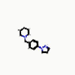 c1cnn(-c2ccc(CN3CCCCC3)cc2)c1